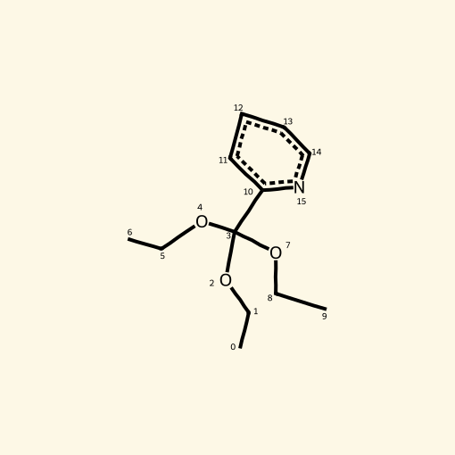 CCOC(OCC)(OCC)c1ccccn1